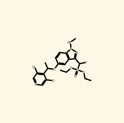 CCOP(=O)(OCC)C(F)c1nn(PI)c2ccc(OC(C)c3c(Cl)cncc3Cl)cc12